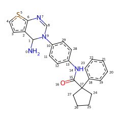 NC1c2ccsc2N=CN1c1ccc(NC(=O)C2(c3ccccc3)CCCC2)cc1